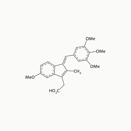 COc1ccc2c(c1)C(CC(=O)O)=C(C)/C2=C\c1cc(OC)c(OC)c(OC)c1